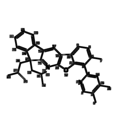 Cc1cnc(-c2c(C)ccc3c2oc2nc4c(cc23)-c2ccccc2C4(CC(C)C)CC(C)C)cc1C